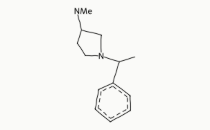 CNC1CCN(C(C)c2ccccc2)C1